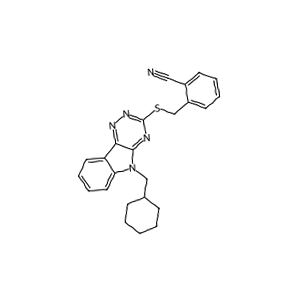 N#Cc1ccccc1CSc1nnc2c3ccccc3n(CC3CCCCC3)c2n1